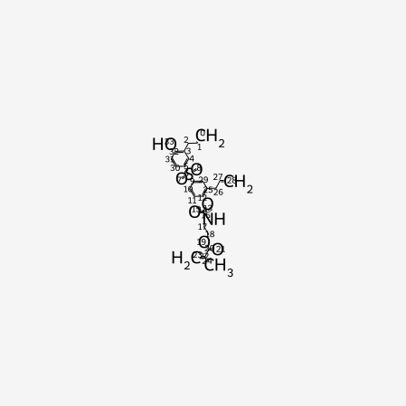 C=CCc1cc(S(=O)(=O)c2ccc(OC(=O)NCCOC(=O)C(=C)C)c(CC=C)c2)ccc1O